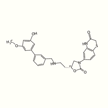 COc1cc(O)cc(-c2cccc(CNCC[C@@H]3CN(c4ccc5c(c4)NC(=O)CS5)C(=O)O3)c2)c1